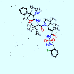 CNC(C(=O)NC(C(=O)N(C)C(C=C(C)C(=O)NS(=O)(=O)NCc1ccccc1F)C(C)C)C(C)(C)C)C(C)(C)c1ccccc1